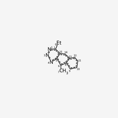 CCc1nnnc2c(C)c3ccccc3cc12